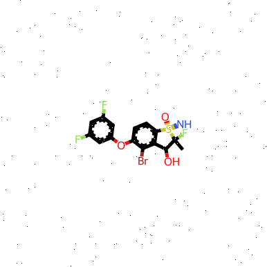 CC1(F)C(O)c2c(ccc(Oc3cc(F)cc(F)c3)c2Br)S1(=N)=O